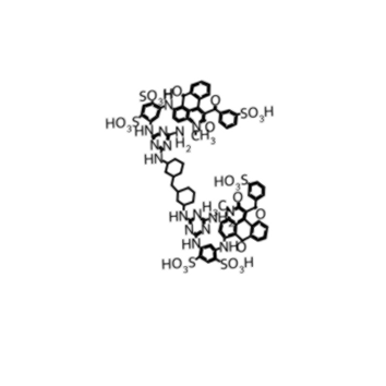 Cn1c(=O)c(C(=O)c2cccc(S(=O)(=O)O)c2)c2c3c(c(Nc4cc(Nc5nc(N)nc(NC6CCCC(CC7CCCC(Nc8nc(N)nc(Nc9cc(Nc%10ccc%11c%12c%10C(=O)c%10ccccc%10-c%12c(C(=O)c%10cccc(S(=O)(=O)O)c%10)c(=O)n%11C)c(S(=O)(=O)O)cc9S(=O)(=O)O)n8)C7)C6)n5)c(S(=O)(=O)O)cc4S(=O)(=O)O)ccc31)C(=O)c1ccccc1-2